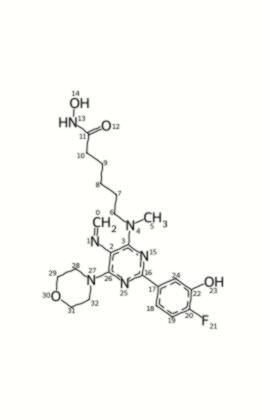 C=Nc1c(N(C)CCCCCC(=O)NO)nc(-c2ccc(F)c(O)c2)nc1N1CCOCC1